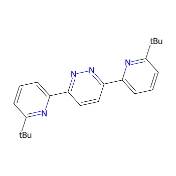 CC(C)(C)c1cccc(-c2ccc(-c3cccc(C(C)(C)C)n3)nn2)n1